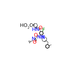 Cc1ccccc1CC1=CCCN(c2cc(F)c(C(=O)N[C@H]3CCC[C@@H](C(=O)O)C3)cc2NC(=O)c2coc(C3CC3)n2)CC1